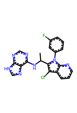 CC(Nc1ncnc2[nH]cnc12)c1c(Cl)c2cccnc2n1-c1cccc(F)c1